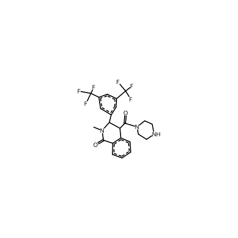 CN1C(=O)c2ccccc2C(C(=O)N2CCNCC2)C1c1cc(C(F)(F)F)cc(C(F)(F)F)c1